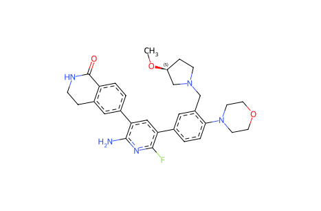 CO[C@H]1CCN(Cc2cc(-c3cc(-c4ccc5c(c4)CCNC5=O)c(N)nc3F)ccc2N2CCOCC2)C1